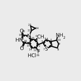 Cc1c(-c2cc3c(s2)CCC3N)c(F)cc2c(=O)[nH]c(=O)n(C3CC3)c12.Cl